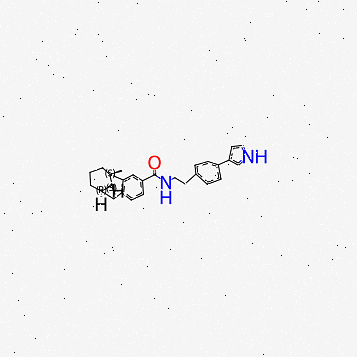 C[C@H]1[C@@H]2CCC[C@]1(C)c1cc(C(=O)NCCc3ccc(-c4cc[nH]c4)cc3)ccc1C2